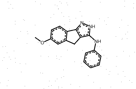 COc1ccc2c(c1)Cc1c-2n[nH]c1Nc1ccccc1